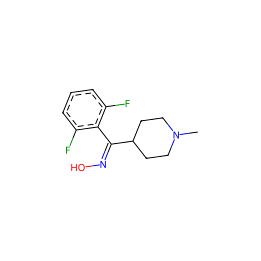 CN1CCC(C(=NO)c2c(F)cccc2F)CC1